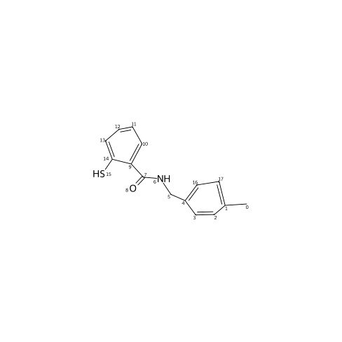 Cc1ccc(CNC(=O)c2ccccc2S)cc1